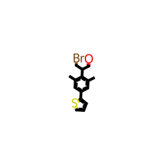 Cc1cc(-c2cccs2)cc(C)c1C(C=O)CBr